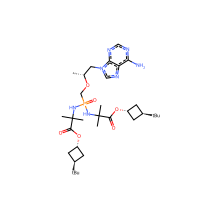 C[C@H](Cn1cnc2c(N)ncnc21)OCP(=O)(NC(C)(C)C(=O)O[C@H]1C[C@H](C(C)(C)C)C1)NC(C)(C)C(=O)O[C@H]1C[C@H](C(C)(C)C)C1